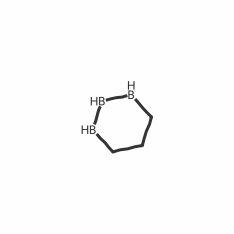 B1BCCCB1